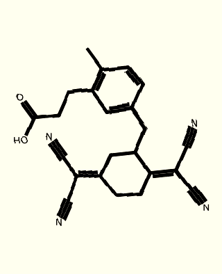 Cc1ccc(CC2CC(=C(C#N)C#N)CCC2=C(C#N)C#N)cc1CCC(=O)O